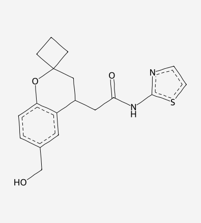 O=C(CC1CC2(CCC2)Oc2ccc(CO)cc21)Nc1nccs1